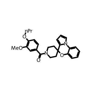 CCCOc1ccc(C(=O)N2CCC3(CC2)Oc2ccccc2-n2cccc23)cc1OC